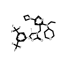 CCN(c1ncc(N2CCC2)cc1CN1C(=O)O[C@H](c2cc(C(F)(F)F)cc(C(F)(F)F)c2)[C@@H]1C)C1CCOCC1